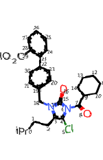 CC(C)CCc1c(Cl)n(C(=O)C2CCCCC2)c(=O)n1Cc1ccc(-c2ccccc2C(=O)O)cc1